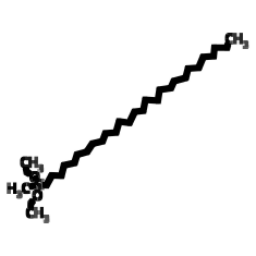 CCCCCCCCCCCCCCCCCCCCCCCCCCCC[Si](C)(OCC)OCC